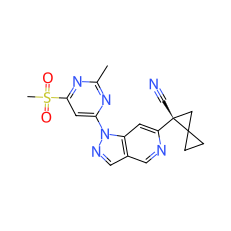 Cc1nc(-n2ncc3cnc([C@]4(C#N)CC45CC5)cc32)cc(S(C)(=O)=O)n1